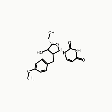 COc1ccc(CC2C(O)[C@H](CO)O[C@@H]2n2ccc(=O)[nH]c2=O)cc1